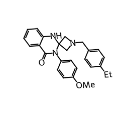 CCc1ccc(CN2CC3(C2)Nc2ccccc2C(=O)N3c2ccc(OC)cc2)cc1